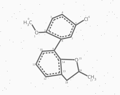 COc1ccc(Cl)cc1-c1cccc2c1OC(C)C2